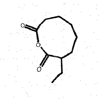 CCC1CCCCCC(=O)OC1=O